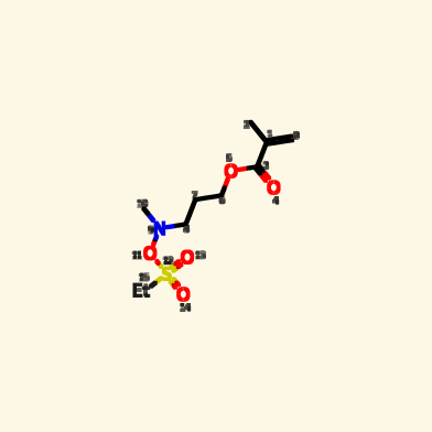 C=C(C)C(=O)OCCCN(C)OS(=O)(=O)CC